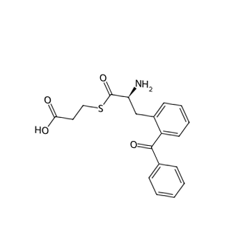 N[C@@H](Cc1ccccc1C(=O)c1ccccc1)C(=O)SCCC(=O)O